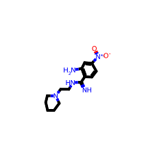 N=C(NCCN1CCCCC1)c1ccc([N+](=O)[O-])cc1N